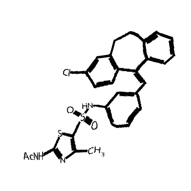 CC(=O)Nc1nc(C)c(S(=O)(=O)Nc2cccc(C=C3c4ccccc4CCc4cc(Cl)ccc43)c2)s1